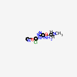 CN1C[C@H]2C[C@H](COc3cc4ncnc(Nc5ccc(OCc6ccccn6)c(Cl)c5)c4cc3N)C[C@H]2C1